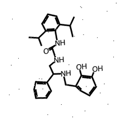 CC(C)c1cccc(C(C)C)c1NC(=O)NCC(NCc1cccc(O)c1O)c1ccccc1